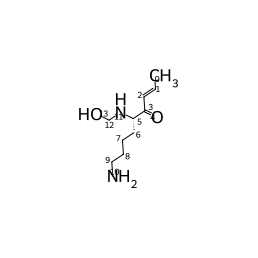 C/C=C/C(=O)[C@H](CCCCN)NCO